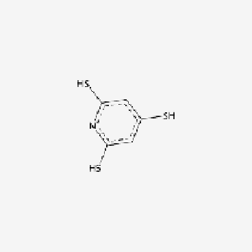 Sc1cc(S)nc(S)c1